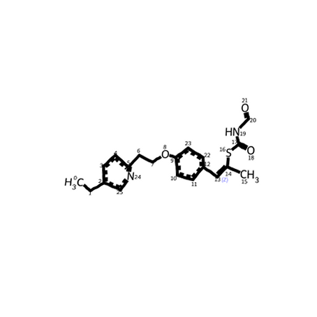 CCc1ccc(CCOc2ccc(/C=C(/C)SC(=O)NC=O)cc2)nc1